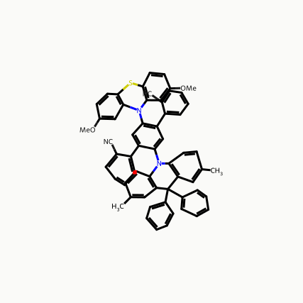 COc1ccc2c(c1)N(c1cc(-c3ccccc3C#N)c(N3c4ccc(C)cc4C(c4ccccc4)(c4ccccc4)c4cc(C)ccc43)cc1-c1ccccc1C#N)c1cc(OC)ccc1S2